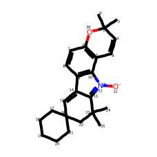 CC1(C)C=Cc2c(ccc3c2[N+]([O-])=C2C3=CC3(CCCCC3)CC2(C)C)O1